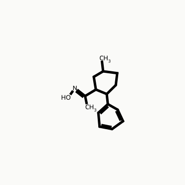 C/C(=N\O)C1CC(C)CCC1c1ccccc1